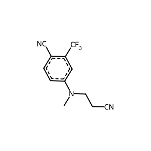 CN(CCC#N)c1ccc(C#N)c(C(F)(F)F)c1